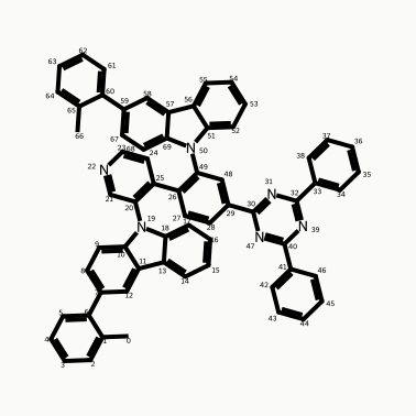 Cc1ccccc1-c1ccc2c(c1)c1ccccc1n2-c1cnccc1-c1ccc(-c2nc(-c3ccccc3)nc(-c3ccccc3)n2)cc1-n1c2ccccc2c2cc(-c3ccccc3C)ccc21